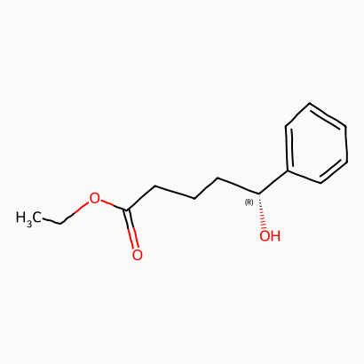 CCOC(=O)CCC[C@@H](O)c1ccccc1